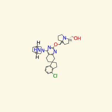 OC[C@@H]1CC[C@]2(COc3nc4c(c(N5C[C@H]6CC[C@@H](C5)N6)n3)CCC3(CCc5c(Cl)cccc53)C4)CCCN12